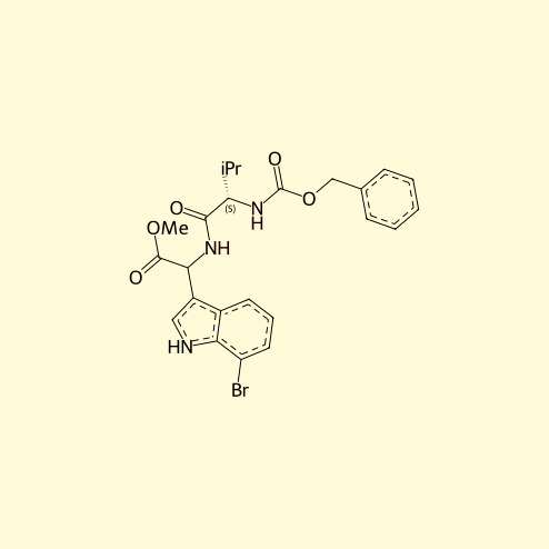 COC(=O)C(NC(=O)[C@@H](NC(=O)OCc1ccccc1)C(C)C)c1c[nH]c2c(Br)cccc12